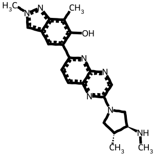 CN[C@@H]1CN(c2cnc3nc(-c4cc5cn(C)nc5c(C)c4O)ccc3n2)C[C@H]1C